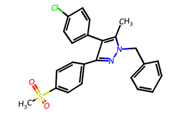 Cc1c(-c2ccc(Cl)cc2)c(-c2ccc(S(C)(=O)=O)cc2)nn1Cc1ccccc1